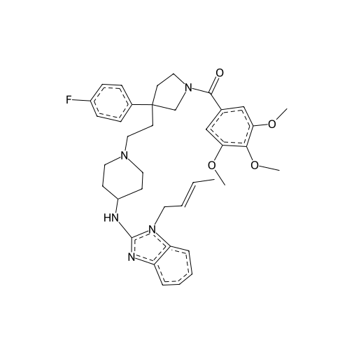 CC=CCn1c(NC2CCN(CCC3(c4ccc(F)cc4)CCN(C(=O)c4cc(OC)c(OC)c(OC)c4)C3)CC2)nc2ccccc21